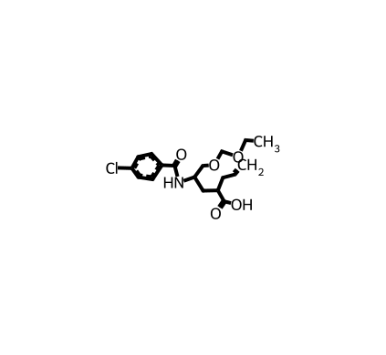 C=CCC(CC(COCOCC)NC(=O)c1ccc(Cl)cc1)C(=O)O